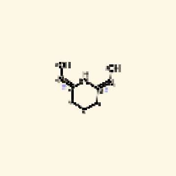 O/N=C1/CCC/C(=N/O)N1